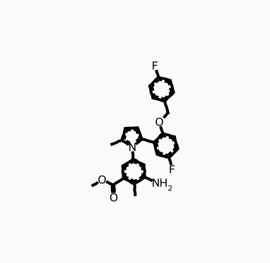 COC(=O)c1cc(-n2c(C)ccc2-c2cc(F)ccc2OCc2ccc(F)cc2)cc(N)c1C